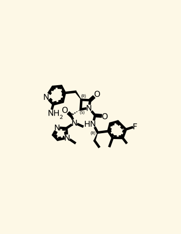 CC[C@@H](NC(=O)N1C(=O)[C@H](Cc2ccnc(N)c2)[C@H]1C(=O)N(C)c1nccn1C)c1ccc(F)c(C)c1C